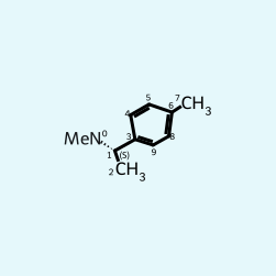 CN[C@@H](C)c1ccc(C)cc1